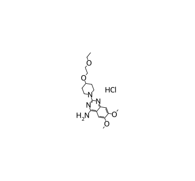 CCOCCOC1CCN(c2nc(N)c3cc(OC)c(OC)cc3n2)CC1.Cl